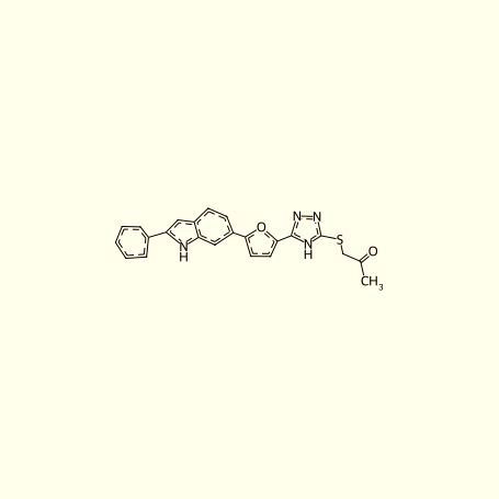 CC(=O)CSc1nnc(-c2ccc(-c3ccc4cc(-c5ccccc5)[nH]c4c3)o2)[nH]1